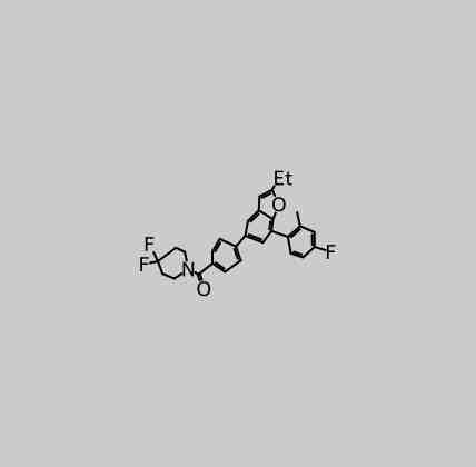 CCc1cc2cc(-c3ccc(C(=O)N4CCC(F)(F)CC4)cc3)cc(-c3ccc(F)cc3C)c2o1